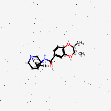 C[C@@H]1Oc2ccc(C(=O)N[C@H]3CN4CCC3CC4)cc2O[C@H]1C